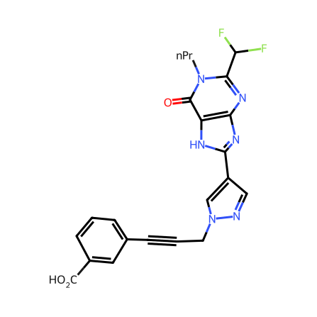 CCCn1c(C(F)F)nc2nc(-c3cnn(CC#Cc4cccc(C(=O)O)c4)c3)[nH]c2c1=O